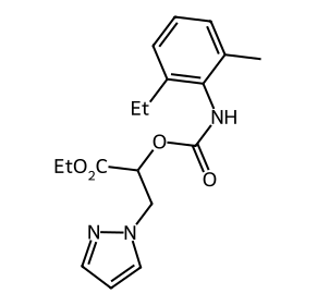 CCOC(=O)C(Cn1cccn1)OC(=O)Nc1c(C)cccc1CC